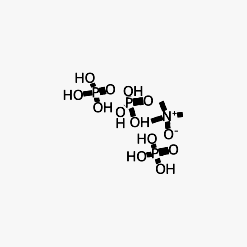 C[N+](C)(C)[O-].O=P(O)(O)O.O=P(O)(O)O.O=P(O)(O)O